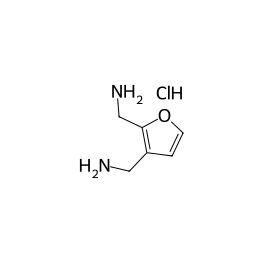 Cl.NCc1ccoc1CN